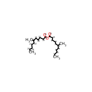 CCCCCC(C)CCCCC(=O)OC(=O)CCCCC(C)CCCCC